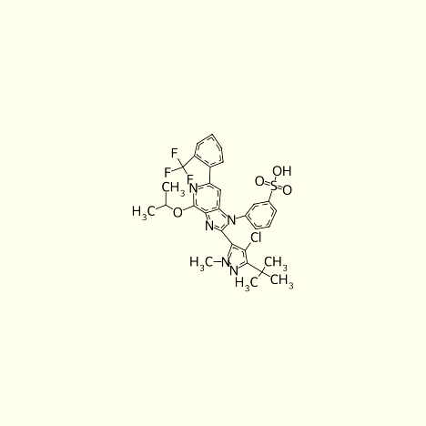 CC(C)Oc1nc(-c2ccccc2C(F)(F)F)cc2c1nc(-c1c(Cl)c(C(C)(C)C)nn1C)n2-c1cccc(S(=O)(=O)O)c1